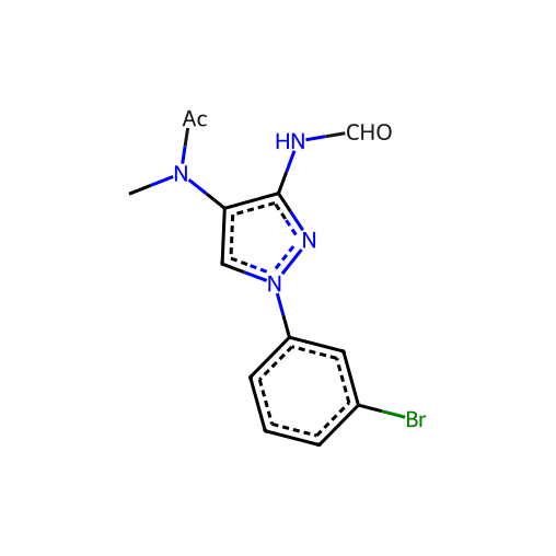 CC(=O)N(C)c1cn(-c2cccc(Br)c2)nc1NC=O